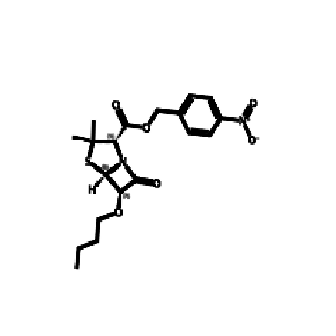 CCCCO[C@@H]1C(=O)N2[C@@H]1SC(C)(C)[C@@H]2C(=O)OCc1ccc([N+](=O)[O-])cc1